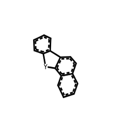 c1ccc2[c](c1)[Y][c]1c-2ccc2ccccc12